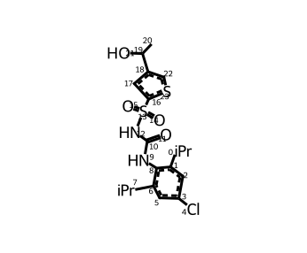 CC(C)c1cc(Cl)cc(C(C)C)c1NC(=O)NS(=O)(=O)c1cc(C(C)O)cs1